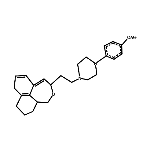 COc1ccc(N2CCN(CCC3C=C4C=CCC5=C4C(CCC5)CO3)CC2)cc1